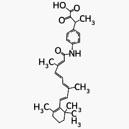 CC(C=CC1=C(C)CCCC1(C)C)=CC=CC(C)=CC(=O)Nc1ccc(C(C)C(=O)C(=O)O)cc1